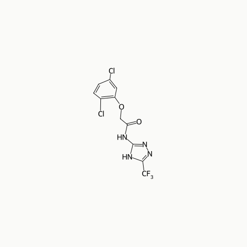 O=C(COc1cc(Cl)ccc1Cl)Nc1nnc(C(F)(F)F)[nH]1